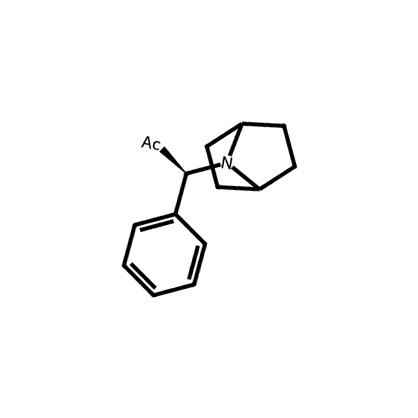 CC(=O)[C@H](c1ccccc1)N1C2CCC1CC2